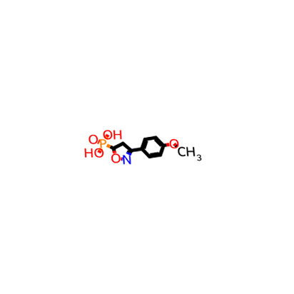 COc1ccc(C2=NOC(P(=O)(O)O)C2)cc1